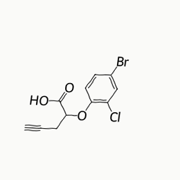 C#CCC(Oc1ccc(Br)cc1Cl)C(=O)O